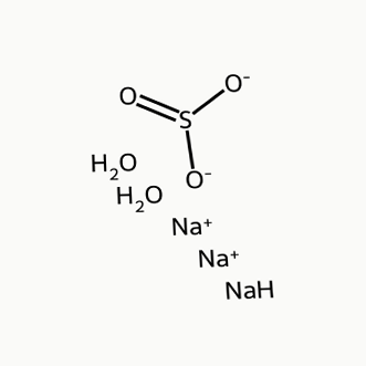 O.O.O=S([O-])[O-].[Na+].[Na+].[NaH]